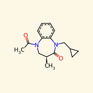 CC(=O)N1C[C@H](C)C(=O)N(CC2CC2)c2ccccc21